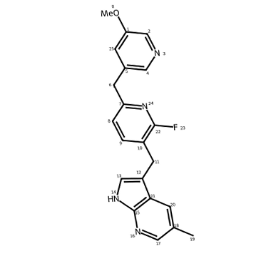 COc1cncc([CH]c2ccc(Cc3c[nH]c4ncc(C)cc34)c(F)n2)c1